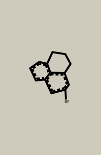 Brc1cc2c3c(cccc3c1)CCC2